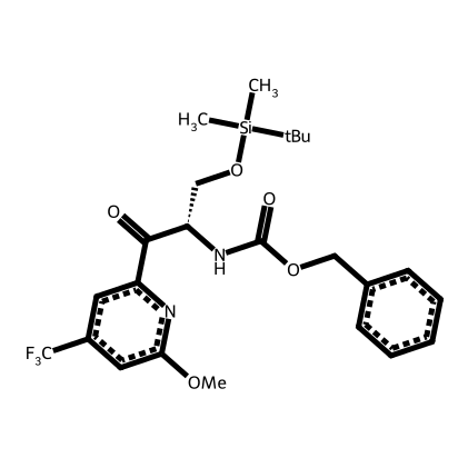 COc1cc(C(F)(F)F)cc(C(=O)[C@H](CO[Si](C)(C)C(C)(C)C)NC(=O)OCc2ccccc2)n1